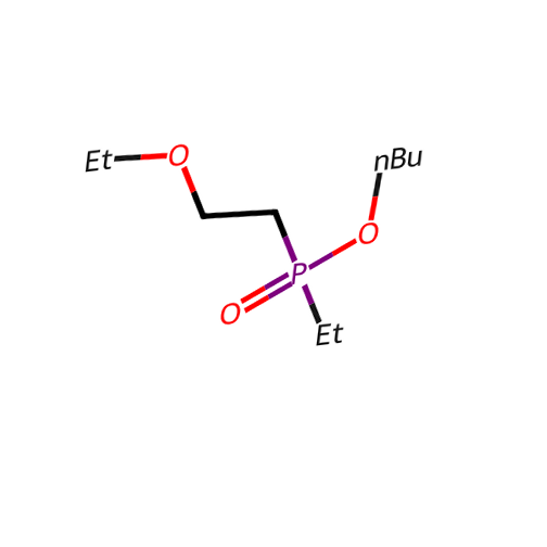 CCCCOP(=O)(CC)CCOCC